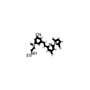 CCNCCN(C)c1cc(C#N)cc(CCc2cc(C)cc(-n3c(C)ccc3C)n2)c1